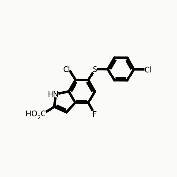 O=C(O)c1cc2c(F)cc(Sc3ccc(Cl)cc3)c(Cl)c2[nH]1